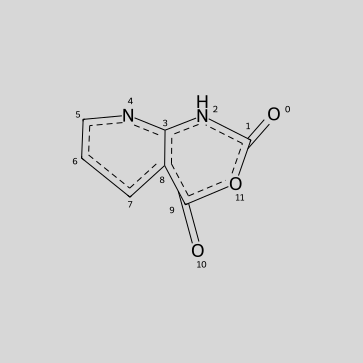 O=c1[nH]c2ncccc2c(=O)o1